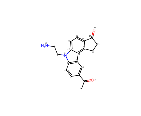 CC(=O)c1ccc2c(c1)c1c3c(ccc1n2CCN)C(=O)CC3